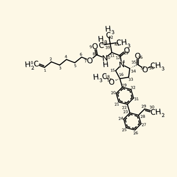 C=CCCCCCOC(=O)NC(C(=O)N1C[C@](OC)(c2ccc(-c3ccccc3C=C)cc2)C[C@H]1C(=O)OC)C(C)(C)C